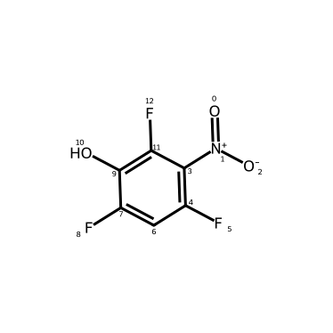 O=[N+]([O-])c1c(F)cc(F)c(O)c1F